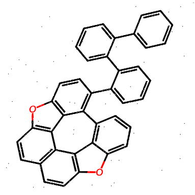 c1ccc(-c2ccccc2-c2ccccc2-c2ccc3oc4ccc5ccc6oc7cccc8c7c6c5c4c3c2-8)cc1